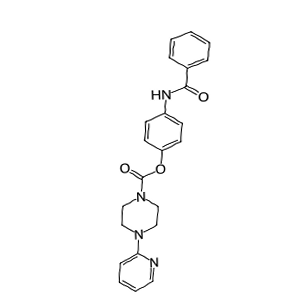 O=C(Nc1ccc(OC(=O)N2CCN(c3ccccn3)CC2)cc1)c1ccccc1